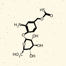 Nc1cc(COC(=O)S)ccc1O[C@H]1O[C@H](C(=O)O)[C@@H](O)[C@H](O)[C@H]1O